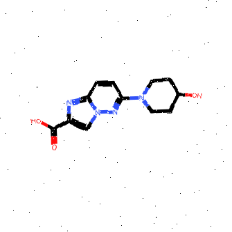 O=C(O)c1cn2nc(N3CCC(O)CC3)ccc2n1